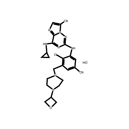 Cl.N#Cc1cc(CN2CCN(C3COC3)CC2)c(Cl)c(Nc2nc(NC3CC3)c3ncc(C#N)n3n2)c1